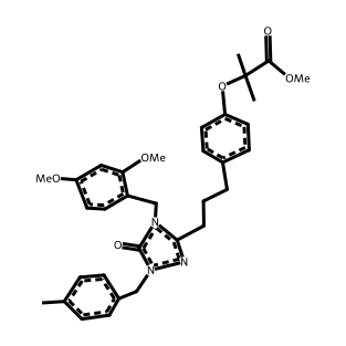 COC(=O)C(C)(C)Oc1ccc(CCCc2nn(Cc3ccc(C)cc3)c(=O)n2Cc2ccc(OC)cc2OC)cc1